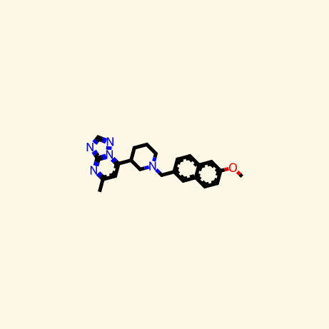 COc1ccc2cc(CN3CCCC(c4cc(C)nc5ncnn45)C3)ccc2c1